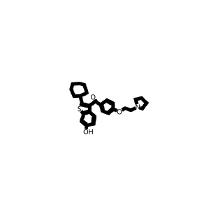 O=C(c1ccc(OCCN2CCCC2)cc1)c1c(C2CCCCCC2)sc2cc(O)ccc12